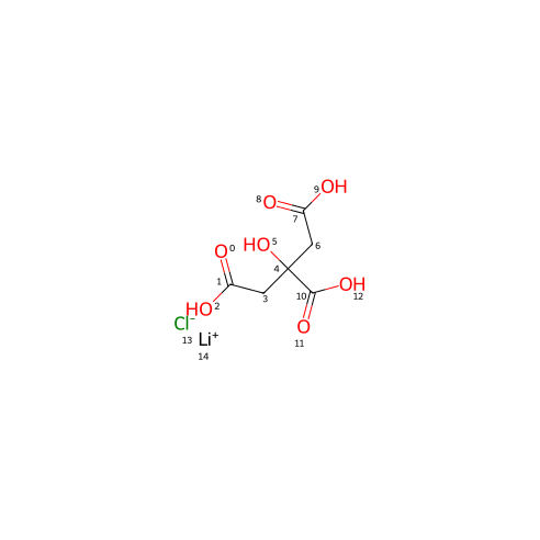 O=C(O)CC(O)(CC(=O)O)C(=O)O.[Cl-].[Li+]